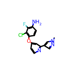 Cn1cc(-c2cc(Oc3ccc(N)c(F)c3Cl)ccn2)cn1